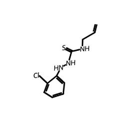 C=CCNC(=S)NNc1ccccc1Cl